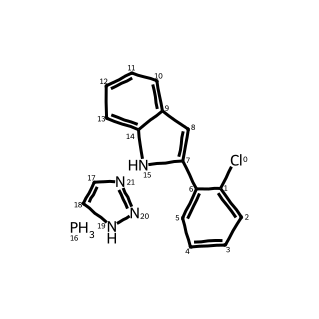 Clc1ccccc1-c1cc2ccccc2[nH]1.P.c1c[nH]nn1